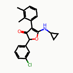 Cc1cccc(C2=C(NC3CC3)OC(c3cccc(Cl)c3)C2=O)c1C